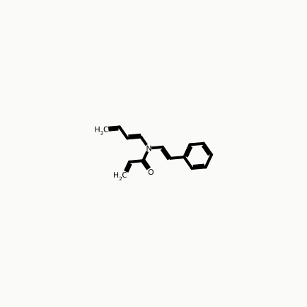 C=CC=CN(C=Cc1ccccc1)C(=O)C=C